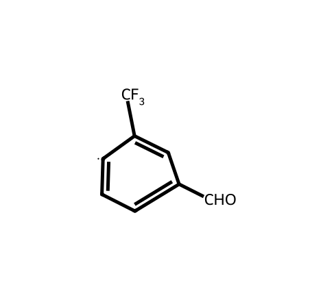 O=Cc1cc[c]c(C(F)(F)F)c1